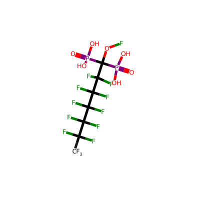 O=P(O)(O)C(OF)(C(F)(F)C(F)(F)C(F)(F)C(F)(F)C(F)(F)C(F)(F)F)P(=O)(O)O